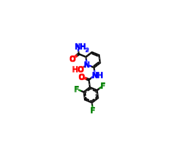 NC(=O)C1C=CC=C(NC(=O)c2c(F)cc(F)cc2F)N1O